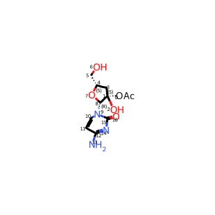 CC(=O)O[C@@]1(O)C[C@@H](CO)O[C@H]1n1ccc(N)nc1=O